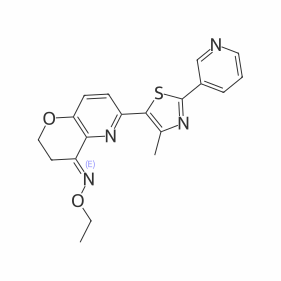 CCO/N=C1\CCOc2ccc(-c3sc(-c4cccnc4)nc3C)nc21